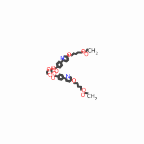 C=CC(=O)OCCCCCOc1ccc(-c2ccc(C(=O)OC3OCCOC3OC(=O)c3ccc(-c4ccc(OCCCCCOC(=O)C=C)cn4)cc3)cc2)nc1